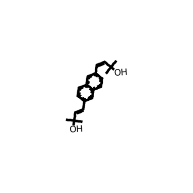 CC(C)(O)C=Cc1ccc2cc(/C=C\C(C)(C)O)ccc2c1